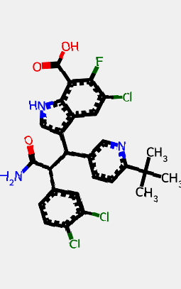 CC(C)(C)c1ccc(C(c2c[nH]c3c(C(=O)O)c(F)c(Cl)cc23)C(C(N)=O)c2ccc(Cl)c(Cl)c2)cn1